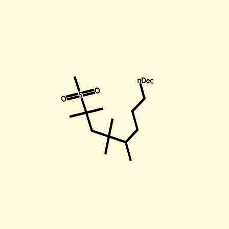 CCCCCCCCCCCCCC(C)C(C)(C)CC(C)(C)S(C)(=O)=O